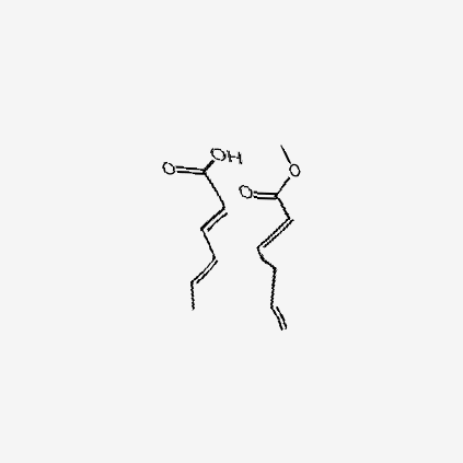 C=CCC=CC(=O)OC.CC=CC=CC(=O)O